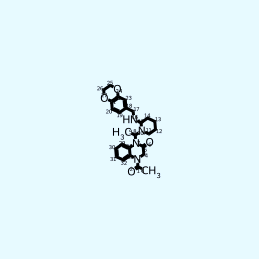 CC(=O)N1CC(=O)N(C(C)N2CCCCC2NCc2ccc3c(c2)OCCO3)c2ccccc21